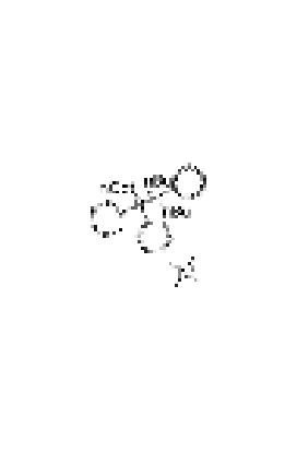 CCCCCCCC[B-](c1ccccc1)(c1ccccc1)[Si](CCCC)(CCCC)c1ccccc1.C[N+](C)(C)C